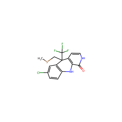 CSCC1(C(F)(F)F)c2cc(Cl)ccc2Nc2c1cc[nH]c2=O